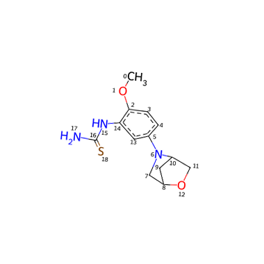 COc1ccc(N2CC3CC2CO3)cc1NC(N)=S